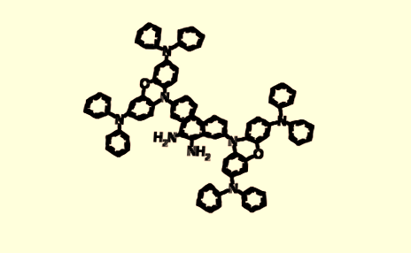 Nc1c(N)c2cc(N3c4ccc(N(c5ccccc5)c5ccccc5)cc4Oc4cc(N(c5ccccc5)c5ccccc5)ccc43)ccc2c2ccc(N3c4ccc(N(c5ccccc5)c5ccccc5)cc4Oc4cc(N(c5ccccc5)c5ccccc5)ccc43)cc12